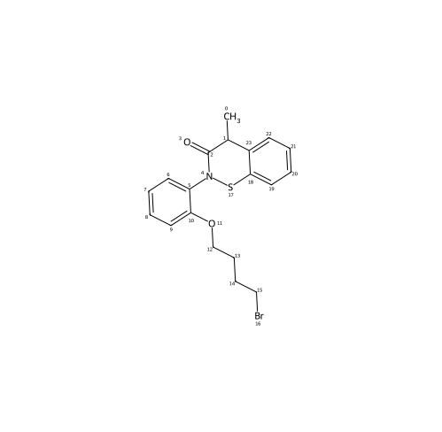 CC1C(=O)N(c2ccccc2OCCCCBr)Sc2ccccc21